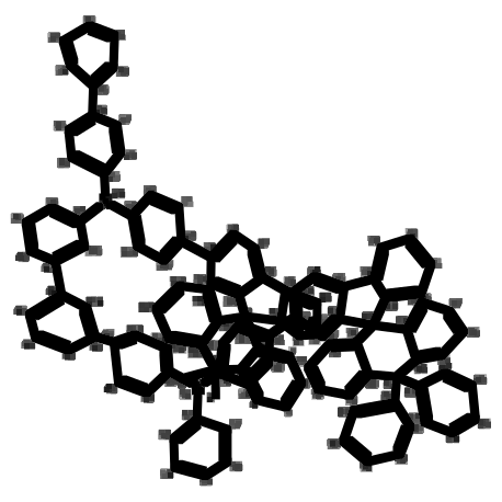 CC1(C)c2ccccc2C2(c3ccccc3-c3ccc(-c4ccc(N(c5ccc(-c6ccccc6)cc5)c5cccc(-c6cccc(-c7ccc(N(c8ccccc8)c8ccc(-c9ccc%10c(c9)C9(c%11ccccc%11-%10)c%10ccccc%10C(c%10ccccc%10)(c%10ccccc%10)c%10ccccc%109)cc8)cc7)c6)c5)cc4)cc32)c2ccccc21